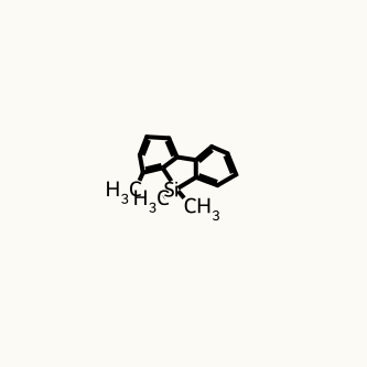 Cc1cccc2c1[Si](C)(C)c1ccccc1-2